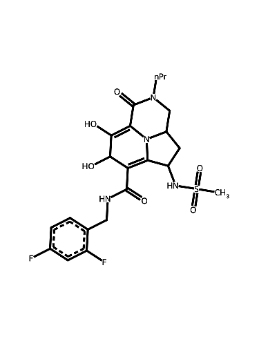 CCCN1CC2CC(NS(C)(=O)=O)C3=C(C(=O)NCc4ccc(F)cc4F)C(O)C(O)=C(C1=O)N32